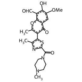 COc1cc2c(=O)c(-c3sc(C(=O)N4CCN(C)CC4)nc3C)c(C)oc2c(C=O)c1O